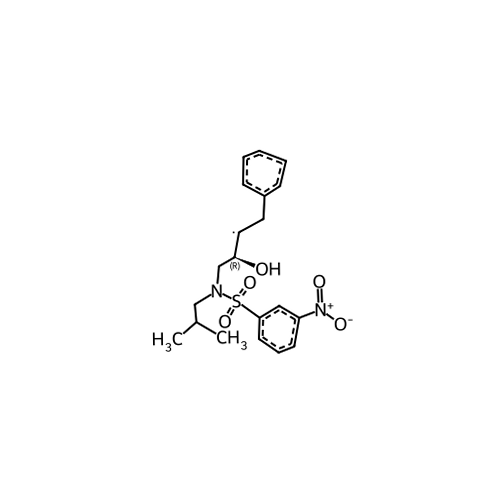 CC(C)CN(C[C@H](O)[CH]Cc1ccccc1)S(=O)(=O)c1cccc([N+](=O)[O-])c1